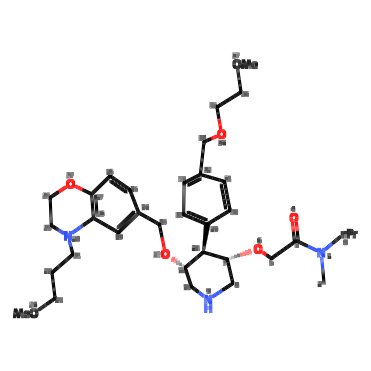 CCCN(C)C(=O)CO[C@@H]1CNC[C@H](OCc2ccc3c(c2)N(CCCOC)CCO3)[C@H]1c1ccc(COCCOC)cc1